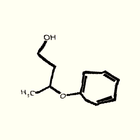 CC(CCO)Oc1ccccc1